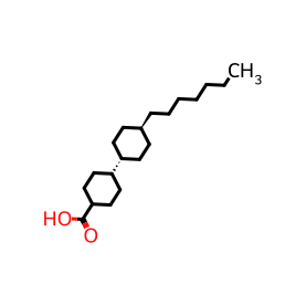 CCCCCCC[C@H]1CC[C@H](C2CCC(C(=O)O)CC2)CC1